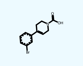 O=C(O)N1CC=C(c2cccc(Br)c2)CC1